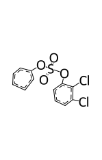 O=S(=O)(Oc1ccccc1)Oc1cccc(Cl)c1Cl